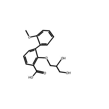 COc1ccccc1-c1cccc(C(=O)O)c1OCC(O)CO